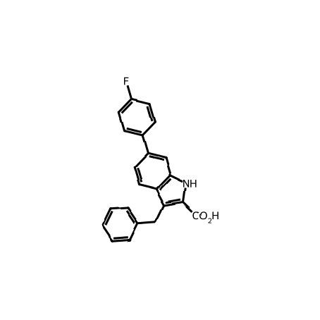 O=C(O)c1[nH]c2cc(-c3ccc(F)cc3)ccc2c1Cc1ccccc1